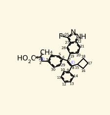 C/C(=C\c1ccc(/C(=C(\c2ccccc2)C2CCC2)c2ccc3[nH]nc(F)c3c2)cc1)C(=O)O